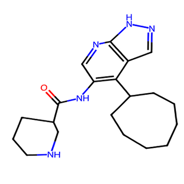 O=C(Nc1cnc2[nH]ncc2c1C1CCCCCCC1)C1CCCNC1